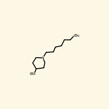 CC(C)(C)CCCCCCN1CCC(C(C)(C)C)CC1